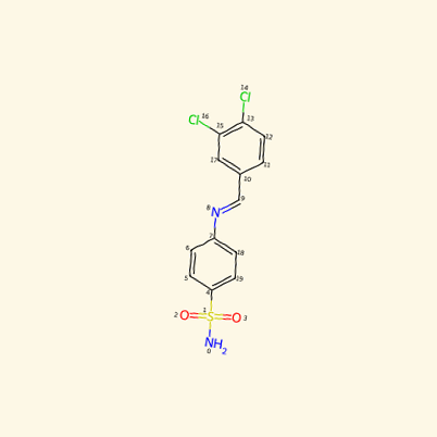 NS(=O)(=O)c1ccc(N=Cc2ccc(Cl)c(Cl)c2)cc1